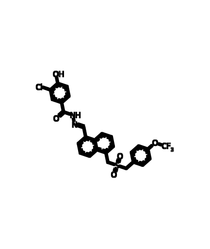 O=C(N/N=C/c1cccc2c(CS(=O)(=O)Cc3ccc(OC(F)(F)F)cc3)cccc12)c1ccc(O)c(Cl)c1